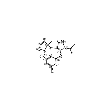 CC(C)n1ncc(CC2(C)C=CSC2)c1Sc1cc(Cl)cc(Cl)c1